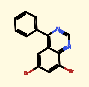 Brc1cc(Br)c2ncnc(-c3ccccc3)c2c1